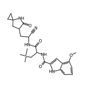 COc1cccc2[nH]c(C(=O)NC(CS(C)(C)C)C(=O)NC(C#N)CC3CC4(CC4)NC3=O)cc12